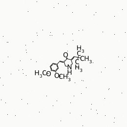 COc1ccc(C=C2CNCC(=CC(C)(C)C)C2=O)cc1OC